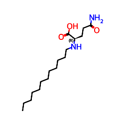 CCCCCCCCCCCCN[C@H](CCC(N)=O)C(=O)O